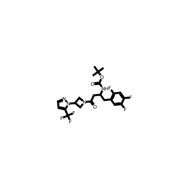 CC(C)(C)OC(=O)NC(CC(=O)N1CC(n2nccc2C(F)(F)F)C1)Cc1cc(F)c(F)cc1F